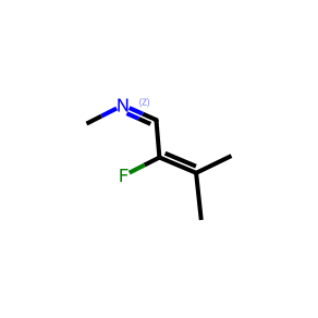 C/N=C\C(F)=C(C)C